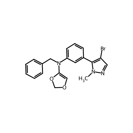 Cn1ncc(Br)c1-c1cccc(N(Cc2ccccc2)C2=COCO2)c1